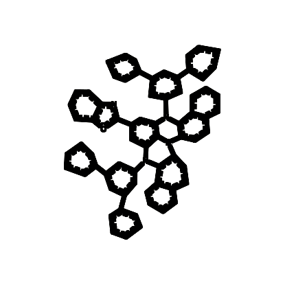 c1ccc(-c2cc(-c3ccccc3)cc(N3c4cc(-c5nc6ccccc6o5)cc5c4B(c4ccc6ccccc6c43)c3ccc4ccccc4c3N5c3cc(-c4ccccc4)cc(-c4ccccc4)c3)c2)cc1